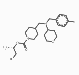 O=C(O[C@H](CO)C(F)(F)F)N1CCC(CN(Cc2ccc(F)cc2)C2CCOCC2)CC1